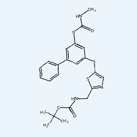 CNC(=O)Oc1cc(Sc2cnc(CNC(=O)OC(C)(C)C)s2)cc(-c2ccccc2)c1